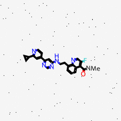 CNC(=O)c1c(F)cnc2c(CCNc3cc(-c4ccnc(C5CC5)c4)ncn3)cccc12